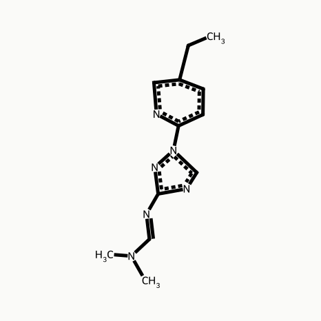 CCc1ccc(-n2cnc(/N=C/N(C)C)n2)nc1